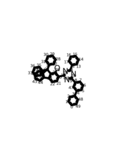 c1ccc(-c2cccc(-c3nc(-c4ccccc4)nc(-c4ccc5c6c4Oc4ccccc4C6(c4ccccc4)c4ccccc4-5)n3)c2)cc1